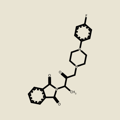 CC(C(=O)CN1CCN(c2ccc(F)cc2)CC1)N1C(=O)c2ccccc2C1=O